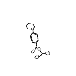 O=C(OC(Cl)Cl)c1ccc(N2CCCCC2)cc1